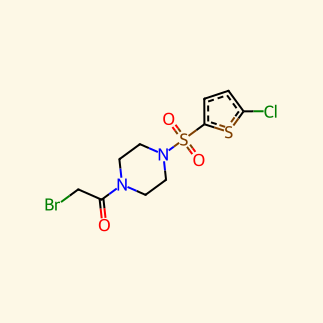 O=C(CBr)N1CCN(S(=O)(=O)c2ccc(Cl)s2)CC1